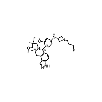 COCC(C)(F)CN1[C@H](C)Cc2c(ccc3[nH]ncc23)[C@H]1[C@@H]1CC=C(NC2CN(CCCF)C2)C=C1OC